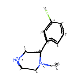 CC[C@H](C)N1CCNCC1c1cccc(F)c1